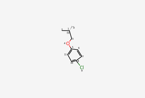 [CH2][C@@H](C)COc1ccc(Cl)cc1